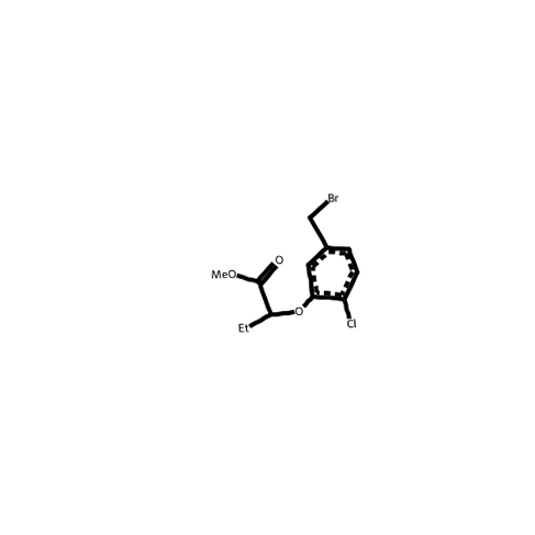 CCC(Oc1cc(CBr)ccc1Cl)C(=O)OC